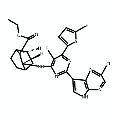 CCOC(=O)[C@@H]1C2CCC(CC2)[C@H]1Nc1nc(-c2c[nH]c3ncc(Cl)nc23)nc(-c2ccc(F)s2)c1F